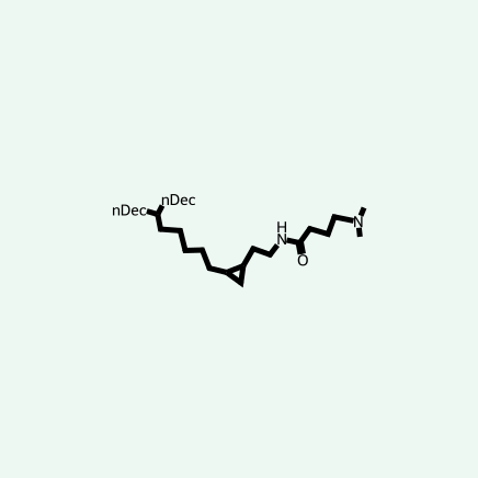 CCCCCCCCCCC(CCCCCCCCCC)CCCCCC1CC1CCNC(=O)CCCN(C)C